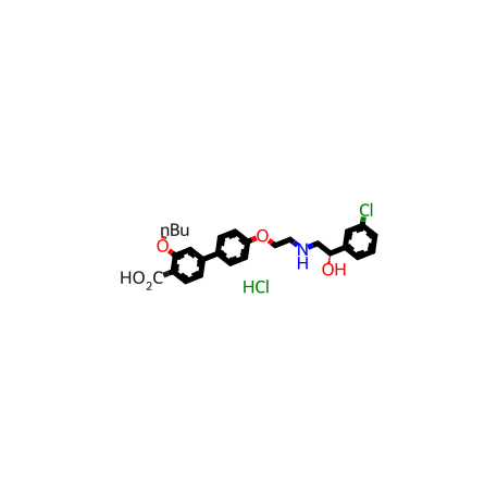 CCCCOc1cc(-c2ccc(OCCNC[C@@H](O)c3cccc(Cl)c3)cc2)ccc1C(=O)O.Cl